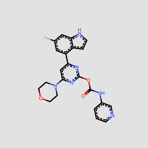 O=C(Nc1cccnc1)Oc1nc(-c2cc(F)cc3[nH]ccc23)cc(N2CCOCC2)n1